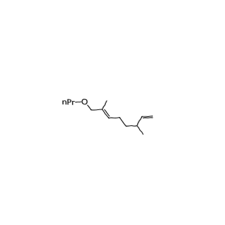 C=CC(C)CC/C=C(\C)COCCC